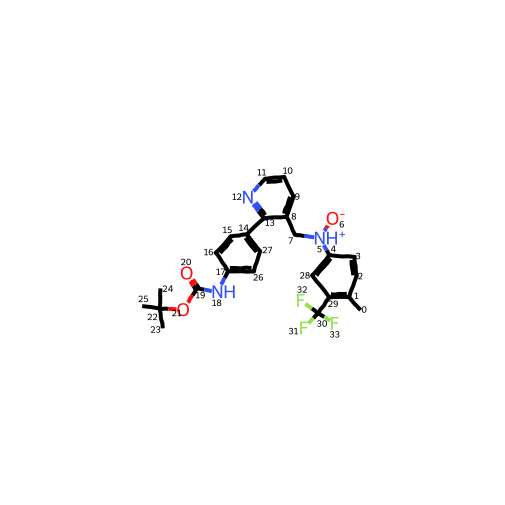 Cc1ccc([NH+]([O-])Cc2cccnc2-c2ccc(NC(=O)OC(C)(C)C)cc2)cc1C(F)(F)F